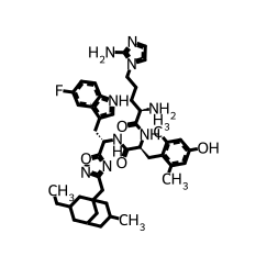 CCC1CC2CC(C)CC(Cc3noc([C@H](Cc4c[nH]c5ccc(F)cc45)NC(=O)[C@H](Cc4c(C)cc(O)cc4C)NC(=O)[C@H](N)CCCn4ccnc4N)n3)(C1)C2